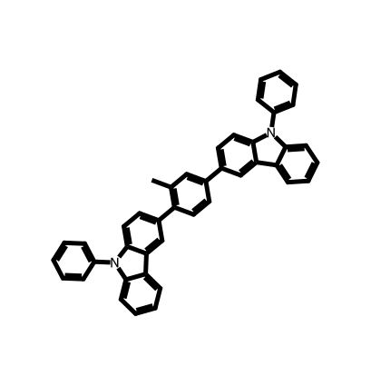 Cc1cc(-c2ccc3c(c2)c2ccccc2n3-c2ccccc2)ccc1-c1ccc2c(c1)c1ccccc1n2-c1ccccc1